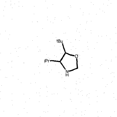 CC(C)C1NCOC1C(C)(C)C